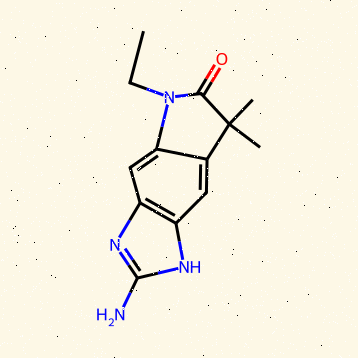 CCN1C(=O)C(C)(C)c2cc3[nH]c(N)nc3cc21